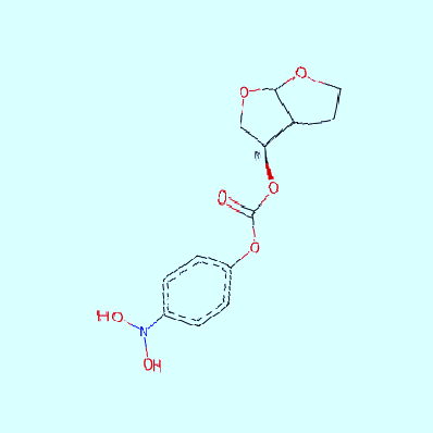 O=C(Oc1ccc(N(O)O)cc1)O[C@H]1COC2OCCC21